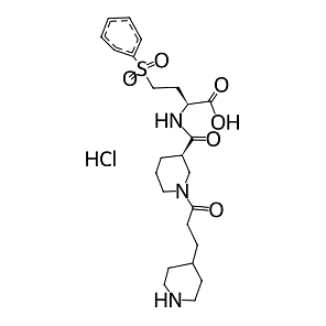 Cl.O=C(N[C@@H](CCS(=O)(=O)c1ccccc1)C(=O)O)[C@@H]1CCCN(C(=O)CCC2CCNCC2)C1